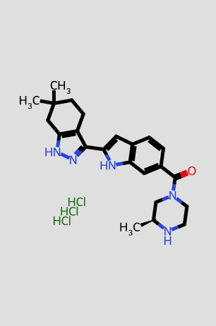 C[C@H]1CN(C(=O)c2ccc3cc(-c4n[nH]c5c4CCC(C)(C)C5)[nH]c3c2)CCN1.Cl.Cl.Cl